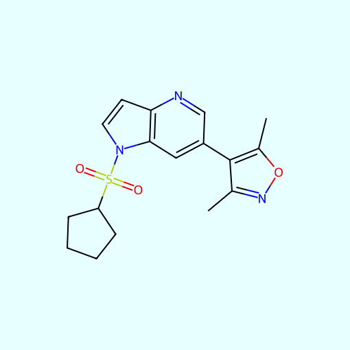 Cc1noc(C)c1-c1cnc2ccn(S(=O)(=O)C3CCCC3)c2c1